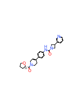 O=C(Nc1ccc(C2=CCN(C(=O)[C@@H]3CCCO3)CC2)cc1)N1CC(c2cccnc2)C1